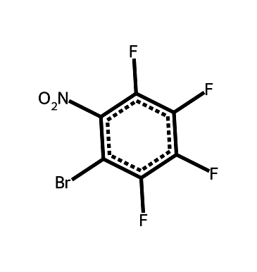 O=[N+]([O-])c1c(F)c(F)c(F)c(F)c1Br